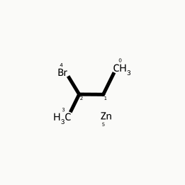 CCC(C)Br.[Zn]